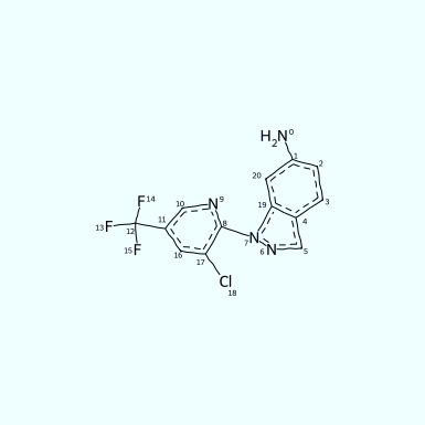 Nc1ccc2cnn(-c3ncc(C(F)(F)F)cc3Cl)c2c1